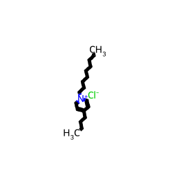 CCCCCCCCC[n+]1ccc(CCCC)cc1.[Cl-]